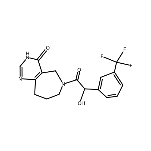 O=C(C(O)c1cccc(C(F)(F)F)c1)N1CCCc2nc[nH]c(=O)c2C1